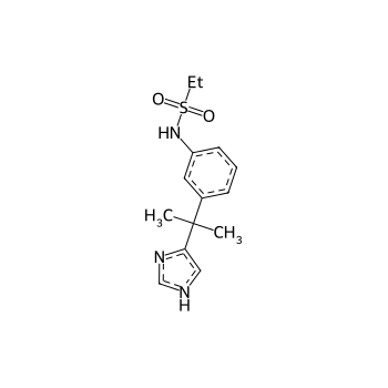 CCS(=O)(=O)Nc1cccc(C(C)(C)c2c[nH]cn2)c1